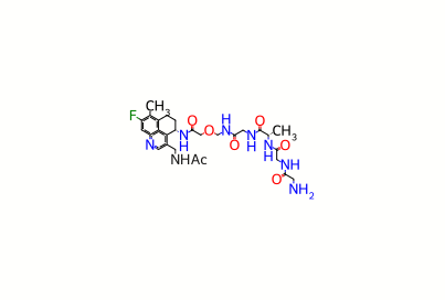 CC(=O)NCc1cnc2cc(F)c(C)c3c2c1[C@@H](NC(=O)COCNC(=O)CNC(=O)[C@H](C)NC(=O)CNC(=O)CN)CC3